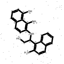 Nc1ccc2ccccc2c1C(CO)Nc1ccc2cccc(O)c2c1N